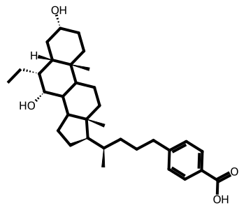 CC[C@H]1[C@@H](O)C2C3CC[C@H]([C@H](C)CCCc4ccc(C(=O)O)cc4)[C@@]3(C)CCC2[C@@]2(C)CC[C@@H](O)C[C@@H]12